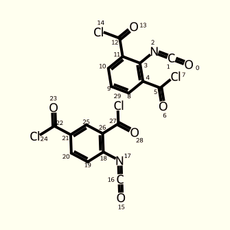 O=C=Nc1c(C(=O)Cl)cccc1C(=O)Cl.O=C=Nc1ccc(C(=O)Cl)cc1C(=O)Cl